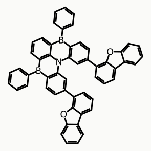 c1ccc(B2c3ccc(-c4cccc5c4oc4ccccc45)cc3N3c4cc(-c5cccc6c5oc5ccccc56)ccc4B(c4ccccc4)c4cccc2c43)cc1